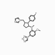 COc1ccc(-n2cnnn2)cc1N(C)C1CCC(Cn2ccnc2)C1c1ccc(F)cc1